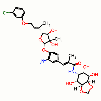 CC(=Cc1ccc(O[C@@H]2O[C@H](C(C)=CCOc3cccc(Cl)c3)[C@@H](O)[C@]2(C)O)c(N)c1)C(=O)N[C@@H]1[C@H](O)[C@@H](O)[C@H]2OCO[C@H]2[C@@H]1O